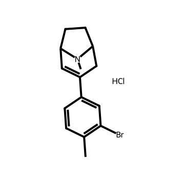 Cc1ccc(C2=CC3CCC(C2)N3C)cc1Br.Cl